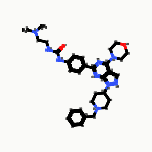 CN(C)CCNC(=O)Nc1ccc(-c2nc(N3CCOCC3)c3cnn(C4CCN(Cc5ccccc5)CC4)c3n2)cc1